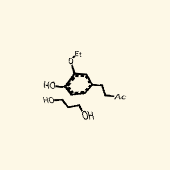 CCOc1cc(CCC(C)=O)ccc1O.OCCCO